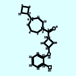 O=C(N1CCCN(C2CCC2)CC1)N1CC(Oc2ccccc2Cl)C1